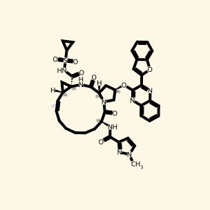 Cn1ccc(C(=O)N[C@H]2CCCCC/C=C\[C@@H]3C[C@@]3(C(=O)NS(=O)(=O)C3CC3)NC(=O)[C@@H]3C[C@@H](Oc4nc5ccccc5nc4-c4cc5ccccc5o4)CN3C2=O)n1